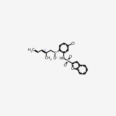 C=C/C=C(\C)C[S+]([O-])c1ccc(Cl)cc1NS(=O)(=O)c1cc2ccccc2o1